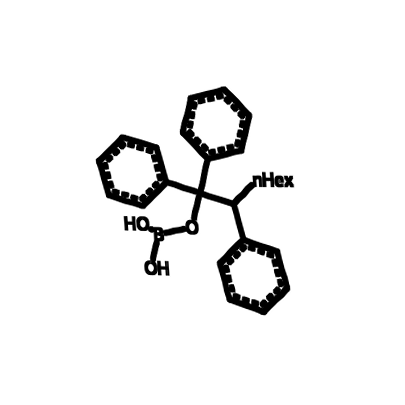 CCCCCCC(c1ccccc1)C(OB(O)O)(c1ccccc1)c1ccccc1